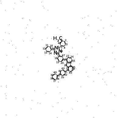 Cc1cccc(-c2nc(-c3ccccc3)nc(-c3cccc(-c4cccc5c4Cc4c(-c6ccc(-c7ccccc7)cc6)cccc4-5)c3)n2)c1